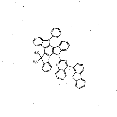 CC1(C)c2ccccc2-c2c1c1c3ccccc3n(-c3ccccc3)c1c1c3ccccc3n(-c3nc(-c4cccc5c4sc4ccccc45)c4ccccc4n3)c21